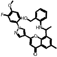 COc1ccc(-n2cc(-c3cc(=O)c4cc(C)cc(C(C)Nc5ccccc5CO)c4o3)cn2)cc1F